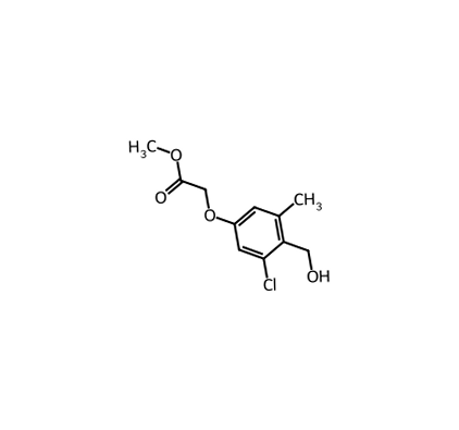 COC(=O)COc1cc(C)c(CO)c(Cl)c1